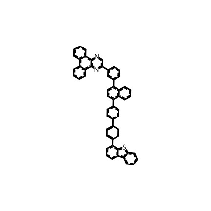 C1=C(c2ccc(-c3ccc(-c4cccc(-c5cnc6c7ccccc7c7ccccc7c6n5)c4)c4ccccc34)cc2)CCC(c2cccc3c2sc2ccccc23)=C1